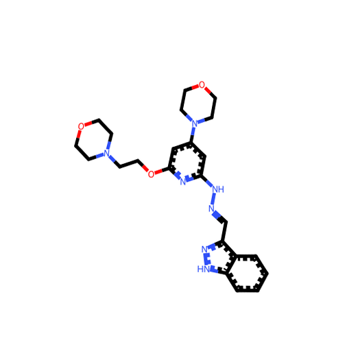 C(=NNc1cc(N2CCOCC2)cc(OCCN2CCOCC2)n1)c1n[nH]c2ccccc12